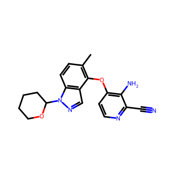 Cc1ccc2c(cnn2C2CCCCO2)c1Oc1ccnc(C#N)c1N